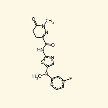 CN1N=C(C(=O)Nc2ncc(N(C)c3cccc(F)c3)s2)CCC1=O